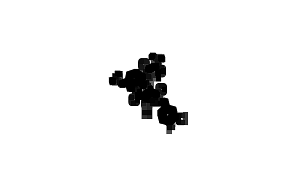 CN(C)CC12CCC(NC(=O)C(=O)N(C)C)(CC1)c1nc(C(=O)NCc3ccc(F)c(Cl)c3)c(O)c(=O)n1C2